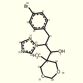 CC1(C(O)C(Cc2ccc(Br)cc2)n2cncn2)COCOC1